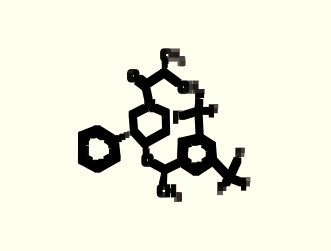 C[C@H](O)C(=O)N1CC[C@H](O[C@H](C)c2cc(C(F)(F)F)cc(C(F)(F)F)c2)[C@H](c2ccccc2)C1